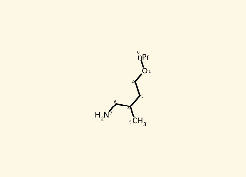 CCCOCCC(C)CN